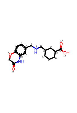 O=C1COc2ccc(CNCC3CCCC(C(=O)O)C3)cc2N1